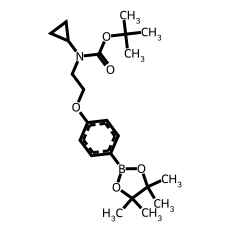 CC(C)(C)OC(=O)N(CCOc1ccc(B2OC(C)(C)C(C)(C)O2)cc1)C1CC1